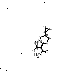 NC(=O)c1c(I)nn2c1CCC(C1CC1)C2